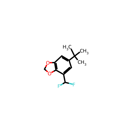 CC(C)(C)c1cc2c(c(C(F)F)c1)OCO2